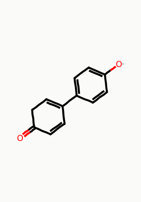 [O]c1ccc(C2=CCC(=O)C=C2)cc1